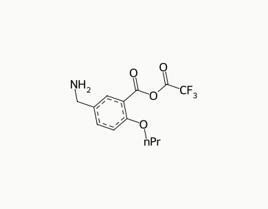 CCCOc1ccc(CN)cc1C(=O)OC(=O)C(F)(F)F